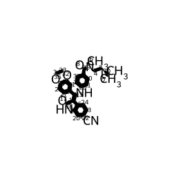 CN(C)CCN(C)C(=O)c1ccc(NC(=C2C(=O)Nc3cc(C#N)ccc32)c2ccc3c(c2)OCCO3)cc1